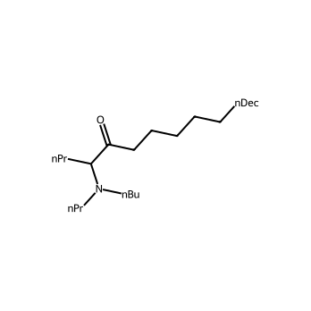 CCCCCCCCCCCCCCCC(=O)C(CCC)N(CCC)CCCC